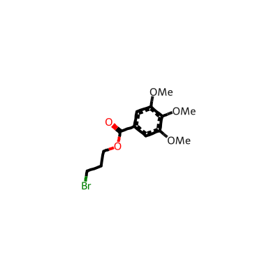 COc1cc(C(=O)OCCCBr)cc(OC)c1OC